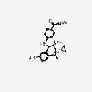 CNC(=O)c1ccc(NC2c3cc(C)ccc3N(C(C)=O)[C@@H](C3CC3)[C@@H]2C)cc1